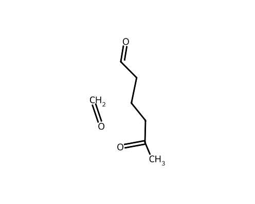 C=O.CC(=O)CCCC=O